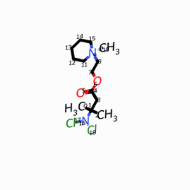 CC(C)(CC(=O)OCC[N+]1(C)CCCCC1)N(Cl)Cl